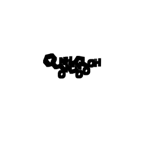 NC(Cc1ccccc1)C(=O)N1CC(=O)N2C(CCC2C(=O)O)C1